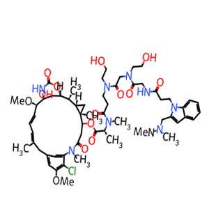 CNN(C)Cc1cc2ccccc2n1CCC(=O)NCC(=O)N(CCO)CC(=O)N(CCO)CCC(=O)N(C)[C@@H](C)C(=O)O[C@H]1CC(=O)N(C)c2cc(cc(OC)c2Cl)C/C(C)=C/C=C/[C@@H](OC)[C@@]2(O)C[C@H](OC(=O)N2)[C@@H](C)[C@@H]2C[C@]12C